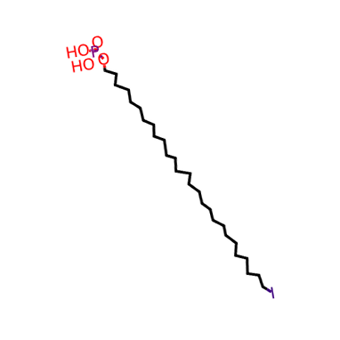 O=P(O)(O)OCCCCCCCCCCCCCCCCCCCCCCCCCCCI